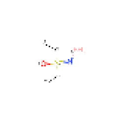 BN=S(=O)(CC)CC